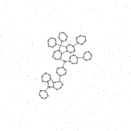 c1ccc(-c2ccc(N(c3ccc(-c4cccc5c4c4ccccc4n5-c4ccccc4)cc3)c3cccc4c3-c3ccc(-c5ccccc5)cc3C4(c3ccccc3)c3ccccc3)cc2)cc1